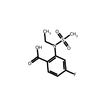 CCN(c1cc(F)ccc1C(=O)O)S(C)(=O)=O